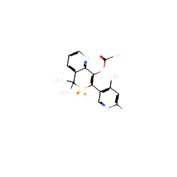 Cc1cc(Cl)ncc1C1=C(OC(=O)C(C)(C)C)c2ncccc2C(C)(C)S1(=O)=O